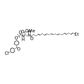 CCC=CCC=CCC=CCC=CCC=CCC=CCCC(=O)NCC(NC(=O)C(C)(C)Oc1ccc(C(=O)c2ccc(Cl)cc2)cc1)C(=O)OC